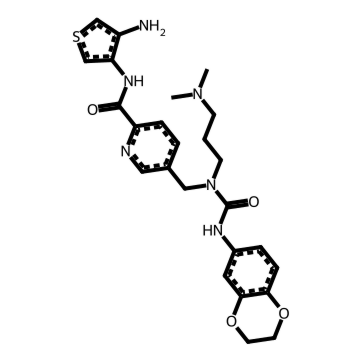 CN(C)CCCN(Cc1ccc(C(=O)Nc2cscc2N)nc1)C(=O)Nc1ccc2c(c1)OCCO2